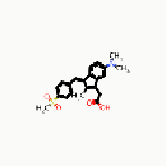 CC1=C(CC(=O)O)c2cc(N(C)C)ccc2C1=Cc1ccc(S(C)(=O)=O)cc1